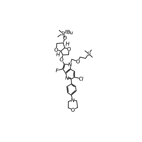 CC(C)(C)[Si](C)(C)O[C@@H]1CO[C@H]2[C@@H]1OC[C@H]2Oc1c(F)c2nc(-c3ccc(N4CCOCC4)cc3)c(Cl)cc2n1COCC[Si](C)(C)C